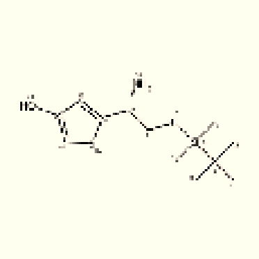 CC(C)(C)[Si](C)(C)OC[C@@H](N)c1cc(O)cs1